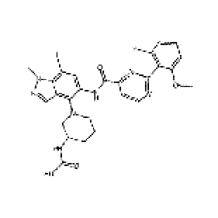 COc1cccc(F)c1-c1nccc(C(=O)Nc2cc(I)c3c(cnn3C)c2N2CCCC(NC(=O)O)C2)n1